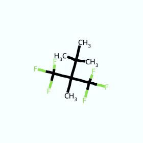 CC(C)(C)C(C)(C(F)(F)F)C(F)(F)F